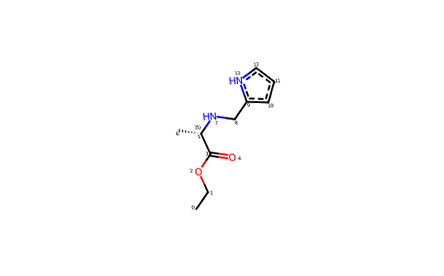 CCOC(=O)[C@H](C)NCc1ccc[nH]1